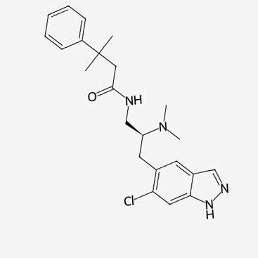 CN(C)[C@H](CNC(=O)CC(C)(C)c1ccccc1)Cc1cc2cn[nH]c2cc1Cl